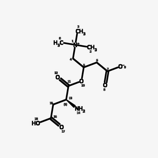 C[N+](C)(C)CC(CC(=O)[O-])OC(=O)[C@@H](N)CC(=O)O